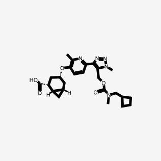 Cc1nc(-c2nnn(C)c2COC(=O)N(C)CC2CCC2)ccc1O[C@@H]1C[C@@H]2C[C@@H]2[C@H](C(=O)O)C1